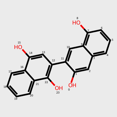 Oc1cc2cccc(O)c2cc1-c1cc(O)c2ccccc2c1O